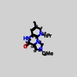 CCCN1CC(C)=CC2=C1N1CN(OC)C=C1C(=O)N2